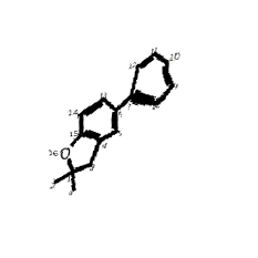 CC1(C)Cc2cc(-c3ccccc3)ccc2O1